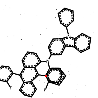 Fc1ccccc1-c1c2ccccc2c(-c2ccccc2F)c2c(N(c3ccccc3)c3ccc4c(c3)c3ccccc3n4-c3ccccc3)cccc12